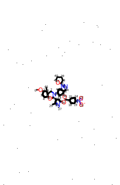 COc1cccc(CN(C(=O)c2cc(OC(=O)c3ccc([N+](=O)[O-])cc3)n(C)c2C)c2ccc3cnn(C4CCCCO4)c3c2)c1C